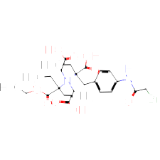 CCOC(=O)C(CC)(CC)[N+](CC(=O)O)(CC(=O)O)C(CC)(Cc1ccc(NC(=O)CBr)cc1)C(=O)O